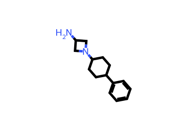 NC1CN(C2CCC(c3ccccc3)CC2)C1